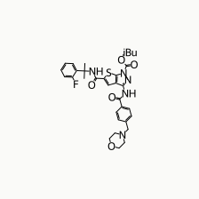 CCC(C)OC(=O)n1nc(NC(=O)c2ccc(CN3CCOCC3)cc2)c2cc(C(=O)NC(C)(C)c3ccccc3F)sc21